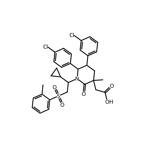 Cc1ccccc1S(=O)(=O)CC(C1CC1)N1C(=O)C(C)(CC(=O)O)CC(c2cccc(Cl)c2)C1c1ccc(Cl)cc1